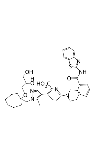 Cc1c(-c2ccc(N3CCc4cccc(C(=O)Nc5nc6ccccc6s5)c4C3)nc2C(=O)O)cnn1CC1(OCC(O)CO)CCCCCC1